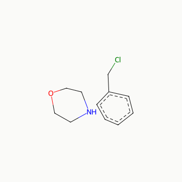 C1COCCN1.ClCc1ccccc1